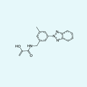 C=C(O)C(=O)NCc1cc(C)cc(-n2nc3ccccc3n2)c1